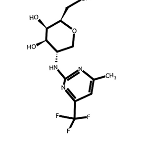 Cc1cc(C(F)(F)F)nc(N[C@H]2CO[C@H](CO)[C@H](O)[C@@H]2O)n1